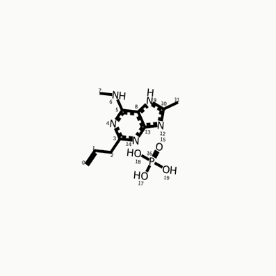 C=CCc1nc(NC)c2[nH]c(C)nc2n1.O=P(O)(O)O